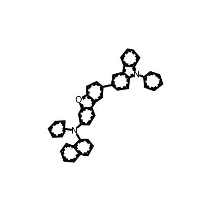 c1ccc(N(c2ccc3c(c2)oc2ccc(-c4ccc5c(c4)c4ccccc4n5-c4ccccc4)cc23)c2cccc3ccccc23)cc1